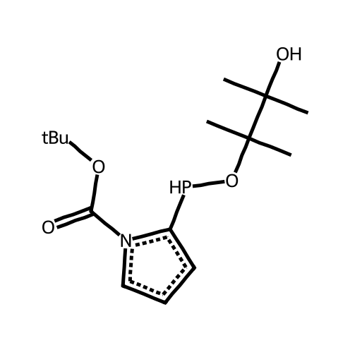 CC(C)(C)OC(=O)n1cccc1POC(C)(C)C(C)(C)O